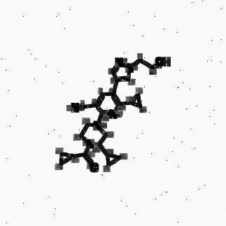 N#Cc1cc(-c2cnn(CCO)c2)c(C2CC2)nc1N1CCN(C(=O)C2CC2)C(C2CC2)C1